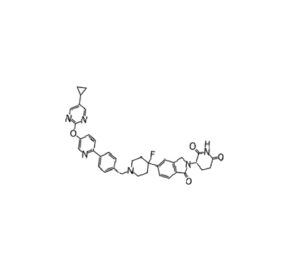 O=C1CCC(N2Cc3cc(C4(F)CCN(Cc5ccc(-c6ccc(Oc7ncc(C8CC8)cn7)cn6)cc5)CC4)ccc3C2=O)C(=O)N1